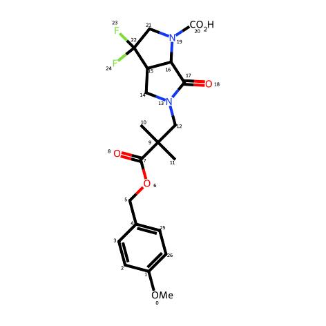 COc1ccc(COC(=O)C(C)(C)CN2CC3C(C2=O)N(C(=O)O)CC3(F)F)cc1